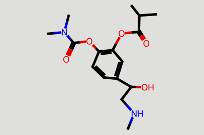 CNCC(O)c1ccc(OC(=O)N(C)C)c(OC(=O)C(C)C)c1